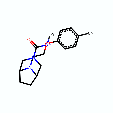 CC(C)NC(=O)N1CC2CCC(C1)N2CCOc1ccc(C#N)cc1